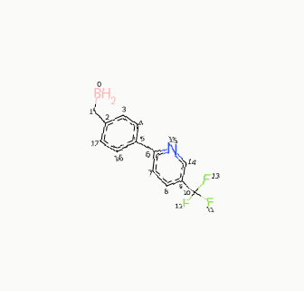 BCc1ccc(-c2ccc(C(F)(F)F)cn2)cc1